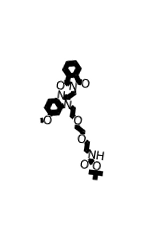 COc1ccc2nc(CN3C(=O)c4ccccc4C3=O)n(CCOCCOCCNC(=O)OC(C)(C)C)c2c1